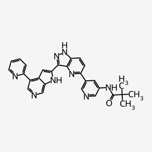 CC(C)(C)C(=O)Nc1cncc(-c2ccc3[nH]nc(-c4cc5c(-c6ccccn6)cncc5[nH]4)c3n2)c1